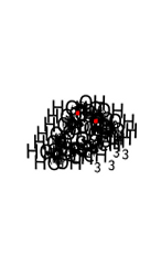 C[C@H](CC[C@@H](O[C@@H]1O[C@H](CO[C@@H]2OC[C@@H](O)C[C@H]2O)[C@@H](O)[C@H](O)[C@H]1O[C@H]1O[C@@H](CO)[C@H](O)[C@@H](O)[C@@H]1O)C(C)(C)O)C1CC[C@@]2(C)C3CC=C4C(CC[C@H](O[C@@H]5O[C@H](CO[C@@H]6O[C@H](CO)[C@@H](O)[C@H](O)[C@H]6O)[C@@H](O)[C@H](O)[C@H]5C5O[C@@H](CO)[C@H](O)[C@@H](O)[C@@H]5O)C4(C)C)[C@]3(C)C(=O)C[C@]12C